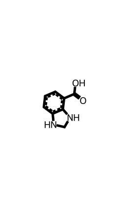 O=C(O)c1cccc2c1NCN2